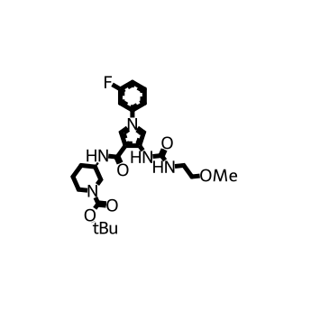 COCCNC(=O)Nc1cn(-c2cccc(F)c2)cc1C(=O)N[C@H]1CCCN(C(=O)OC(C)(C)C)C1